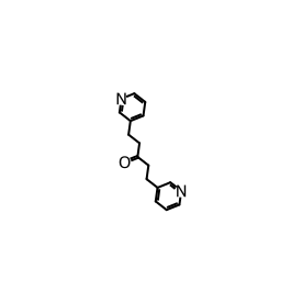 O=C(CCc1cccnc1)CCc1cccnc1